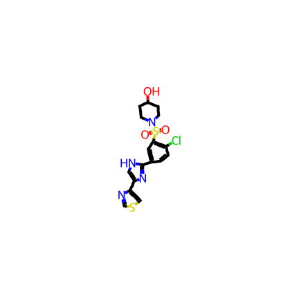 O=S(=O)(c1cc(-c2nc(-c3cscn3)c[nH]2)ccc1Cl)N1CCC(O)CC1